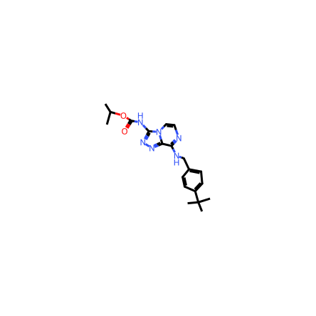 CC(C)OC(=O)Nc1nnc2c(NCc3ccc(C(C)(C)C)cc3)nccn12